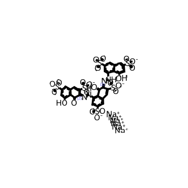 O=C1/C(=N/Nc2cc(S(=O)(=O)[O-])cc3c2C(=O)/C(=N/Nc2cc(S(=O)(=O)[O-])cc4cc(S(=O)(=O)[O-])cc(O)c24)C(S(=O)(=O)[O-])=C3)C(S(=O)(=O)[O-])=Cc2cc(S(=O)(=O)[O-])cc(O)c21.[Na+].[Na+].[Na+].[Na+].[Na+].[Na+]